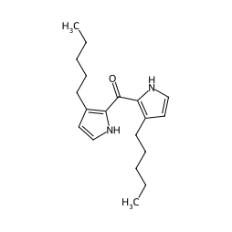 CCCCCc1cc[nH]c1C(=O)c1[nH]ccc1CCCCC